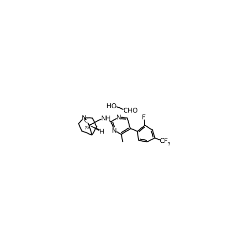 Cc1nc(N[C@H]2CN3CCC2CC3)ncc1-c1ccc(C(F)(F)F)cc1F.O=CO